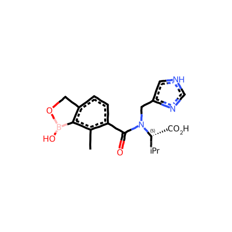 Cc1c(C(=O)N(Cc2c[nH]cn2)[C@H](C(=O)O)C(C)C)ccc2c1B(O)OC2